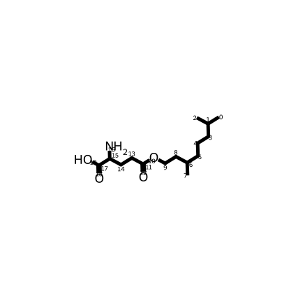 CC(C)CCCC(C)CCOC(=O)CCC(N)C(=O)O